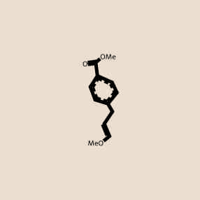 COC=CCc1ccc(C(=O)OC)cc1